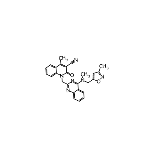 Cc1cc(CN(C)c2nc(Cn3c(=O)c(C#N)c(C)c4ccccc43)nc3ccccc23)on1